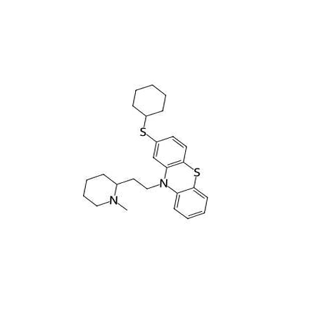 CN1CCCCC1CCN1c2ccccc2Sc2ccc(SC3CCCCC3)cc21